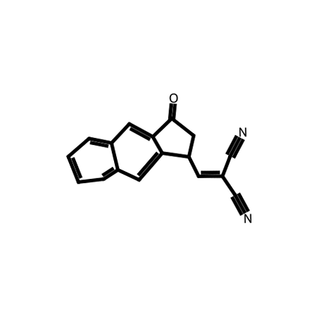 N#CC(C#N)=CC1CC(=O)c2cc3ccccc3cc21